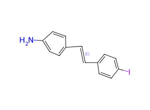 Nc1ccc(/C=C/c2ccc(I)cc2)cc1